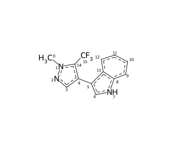 Cn1ncc(-c2c[nH]c3ccccc23)c1C(F)(F)F